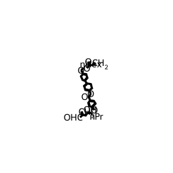 C=CC(=O)OC(CCCCCC)OC1=CC=C(C2=CC=C(OC(=O)c3ccc(OC(CCC)C(O)CC(=C)C=O)cc3)CC2)CC1